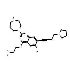 COc1cc2c(NCCN(C)C)nc(N3CCCN(C)CC3)nc2cc1C#CCCN1CCCC1